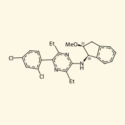 CCc1nc(-c2ccc(Cl)cc2Cl)c(CC)nc1N[C@@H]1c2ccccc2C[C@@H]1OC